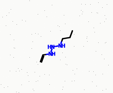 C=CNNNCCC